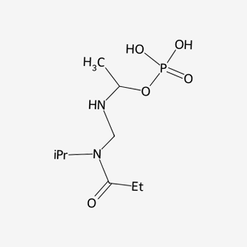 CCC(=O)N(CNC(C)OP(=O)(O)O)C(C)C